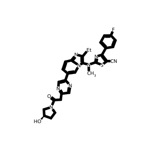 CCc1nc2ccc(-c3cnc(CC(=O)N4CC[C@@H](O)C4)cn3)cn2c1N(C)c1nc(-c2ccc(F)cc2)c(C#N)s1